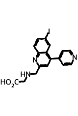 O=C(O)CNCc1cc(-c2ccncc2)c2cc(I)ccc2n1